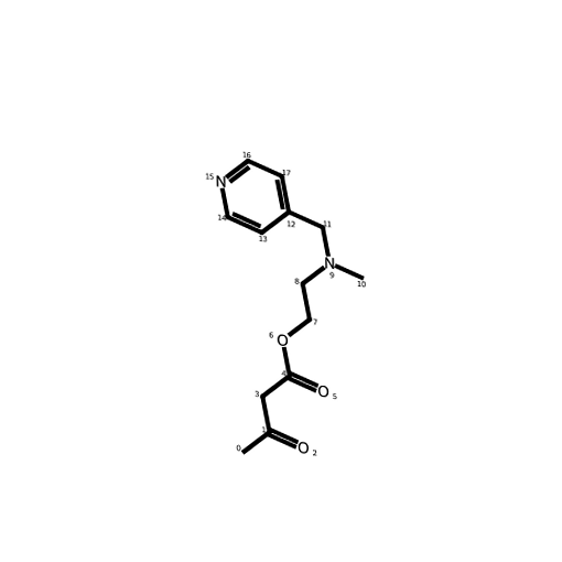 CC(=O)CC(=O)OCCN(C)Cc1ccncc1